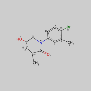 Cc1cc(N(CCO)C(=O)C(C)C)ccc1Br